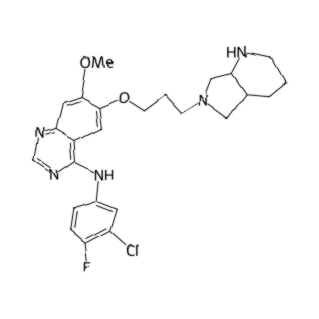 COc1cc2ncnc(Nc3ccc(F)c(Cl)c3)c2cc1OCCCN1CC2CCCNC2C1